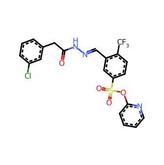 O=C(Cc1cccc(Cl)c1)NN=Cc1cc(S(=O)(=O)Oc2ccccn2)ccc1C(F)(F)F